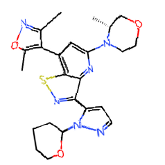 Cc1noc(C)c1-c1cc(N2CCOC[C@H]2C)nc2c(-c3ccnn3C3CCCCO3)nsc12